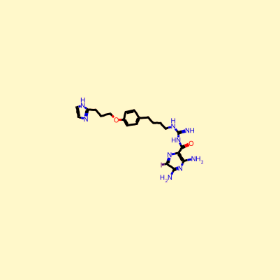 N=C(NCCCCc1ccc(OCCCc2ncc[nH]2)cc1)NC(=O)c1nc(I)c(N)nc1N